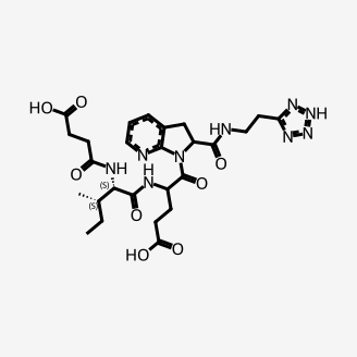 CC[C@H](C)[C@H](NC(=O)CCC(=O)O)C(=O)NC(CCC(=O)O)C(=O)N1c2ncccc2CC1C(=O)NCCc1nn[nH]n1